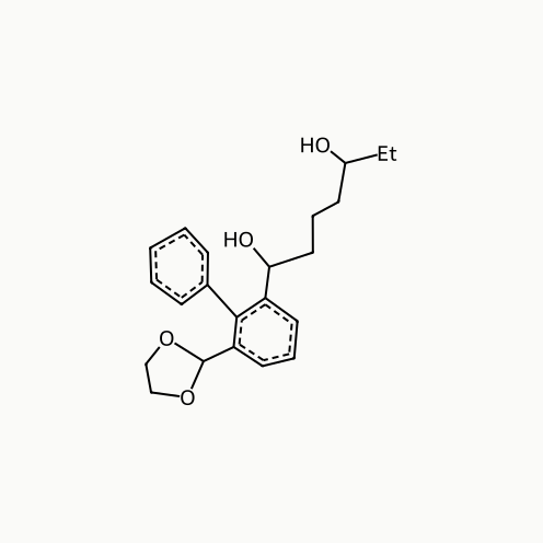 CCC(O)CCCC(O)c1cccc(C2OCCO2)c1-c1ccccc1